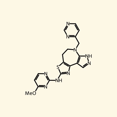 COc1ccnc(Nc2nc3c(s2)CCN(Cc2ccncn2)c2[nH]ncc2-3)n1